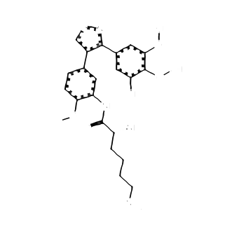 COc1ccc(-c2csnc2-c2cc(C)c(OC)c(OC)c2)cc1NC(=O)[C@H](N)CCCCN